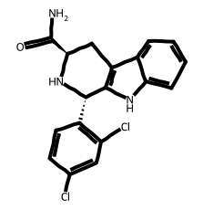 NC(=O)[C@H]1Cc2c([nH]c3ccccc23)[C@H](c2ccc(Cl)cc2Cl)N1